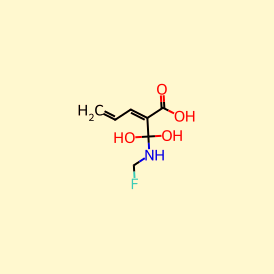 C=C/C=C(/C(=O)O)C(O)(O)NCF